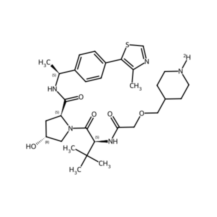 [2H]N1CCC(COCC(=O)N[C@H](C(=O)N2C[C@H](O)C[C@H]2C(=O)N[C@@H](C)c2ccc(-c3scnc3C)cc2)C(C)(C)C)CC1